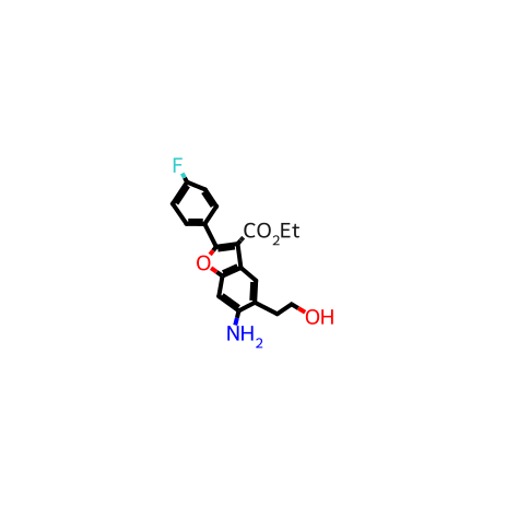 CCOC(=O)c1c(-c2ccc(F)cc2)oc2cc(N)c(CCO)cc12